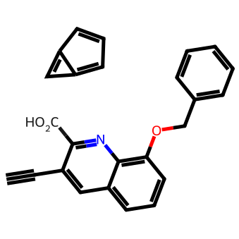 C#Cc1cc2cccc(OCc3ccccc3)c2nc1C(=O)O.c1cc2cc-2c1